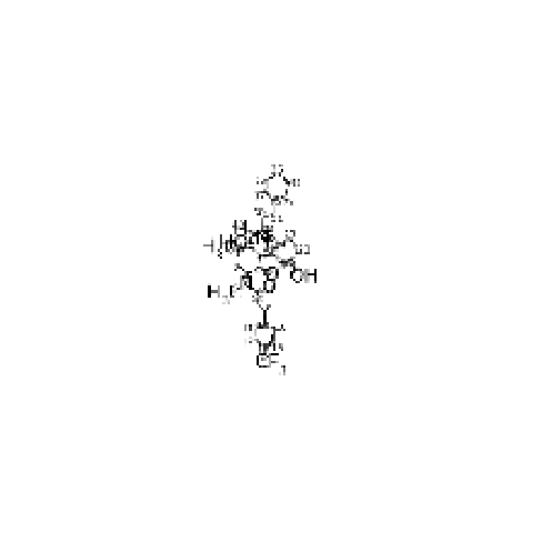 CC1CC(N(C)C(=O)CCc2ccc(C(F)(F)F)cc2)C2Oc3c(O)ccc4c3[C@@]23CCN(CCc2ccccc2)[C@H](C4)[C@]13O